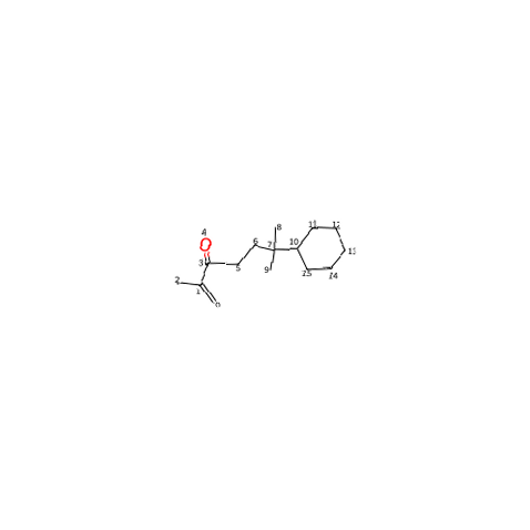 C=C(C)C(=O)CCC(C)(C)C1CCCCC1